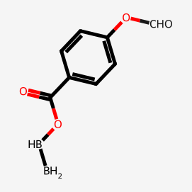 BBOC(=O)c1ccc(OC=O)cc1